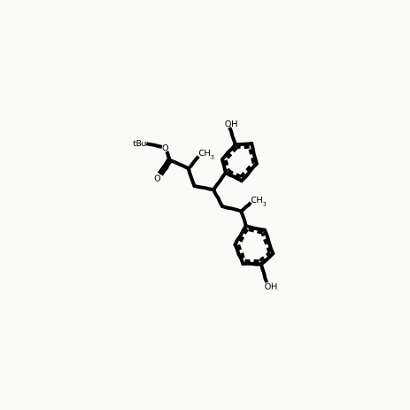 CC(CC(CC(C)c1ccc(O)cc1)c1cccc(O)c1)C(=O)OC(C)(C)C